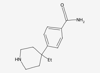 CCC1(c2ccc(C(N)=O)cc2)CCNCC1